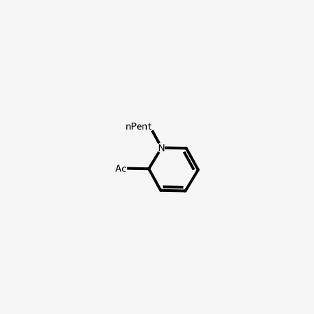 CCCCCN1C=CC=CC1C(C)=O